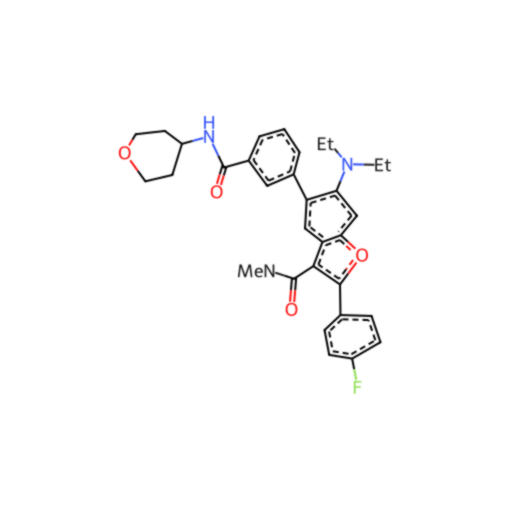 CCN(CC)c1cc2oc(-c3ccc(F)cc3)c(C(=O)NC)c2cc1-c1cccc(C(=O)NC2CCOCC2)c1